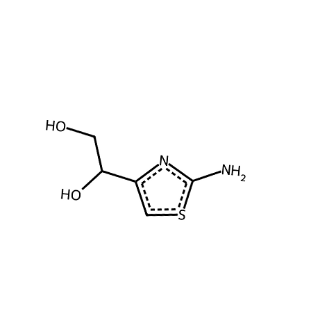 Nc1nc(C(O)CO)cs1